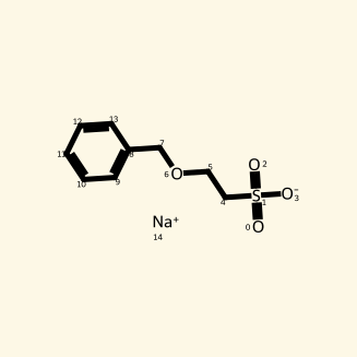 O=S(=O)([O-])CCOCc1ccccc1.[Na+]